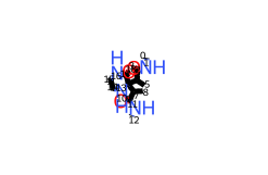 CNC(=O)C(C)C1(C(C)C(=O)NC)NCCNC1=O